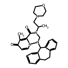 Cc1c2n(ccc1=O)N(C1c3ccccc3CCc3ccccc31)CN(C(C)CN1CCOCC1)C2=O